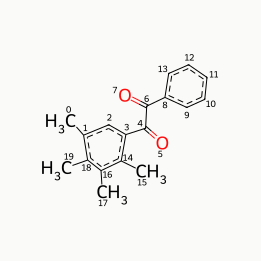 Cc1cc(C(=O)C(=O)c2ccccc2)c(C)c(C)c1C